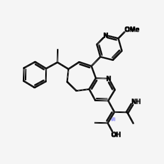 COc1ccc(C2=CC(C(C)c3ccccc3)CCc3cc(/C(C(C)=N)=C(\C)O)cnc32)cn1